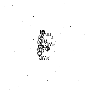 COc1cccnc1-c1cc(C(=O)Nc2nnc(-n3nccc3N)s2)oc(=O)c1O[C@@H]1CCC[C@H](OC)C1